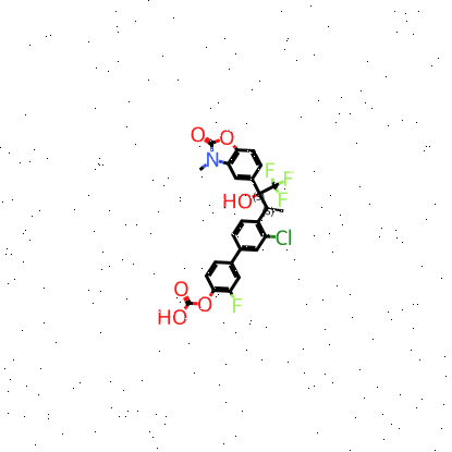 C[C@@H](c1ccc(-c2ccc(OC(=O)O)c(F)c2)cc1Cl)[C@](O)(c1ccc2oc(=O)n(C)c2c1)C(F)(F)F